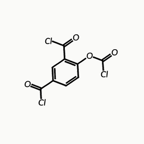 O=C(Cl)Oc1ccc(C(=O)Cl)cc1C(=O)Cl